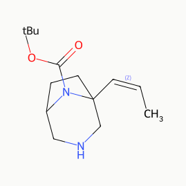 C/C=C\C12CCC(CNC1)N2C(=O)OC(C)(C)C